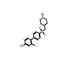 CC(=O)N1CCC(CS(=O)(=O)c2ccc(-c3ccc(C#N)cc3F)cc2)CC1